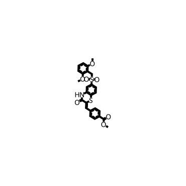 COC(=O)c1ccc(/C=C2\Sc3ccc(S(=O)(=O)Cc4c(OC)cccc4OC)cc3NC2=O)cc1